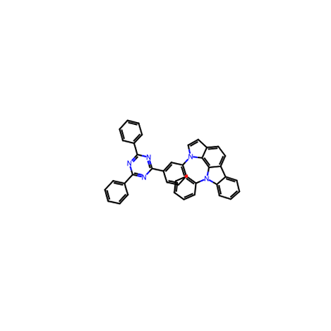 c1ccc(-c2nc(-c3ccccc3)nc(-c3cccc(-n4ccc5ccc6c7ccccc7n(-c7ccccc7)c6c54)c3)n2)cc1